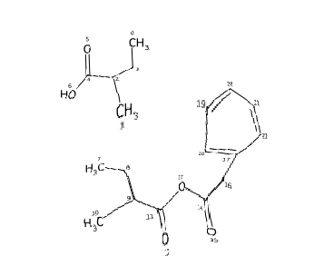 CCC(C)C(=O)O.CCC(C)C(=O)OC(=O)Cc1ccccc1